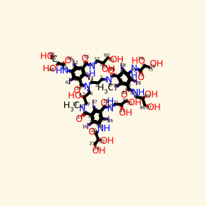 CN(CCCN(CC(O)CN(C)C(=O)c1c(I)c(NC(=O)C(O)CO)c(I)c(C(=O)NCC(O)CO)c1I)C(=O)c1c(I)c(NC(=O)C(O)CO)c(I)c(C(=O)NCC(O)CO)c1I)C(=O)c1c(I)c(NC(=O)C(O)CO)c(I)c(C(=O)NCC(O)CO)c1I